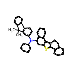 CC1(C)c2ccccc2-c2ccc(N(c3ccccc3)c3cc4sc5c6ccccc6ccc5c4c4ccccc34)cc21